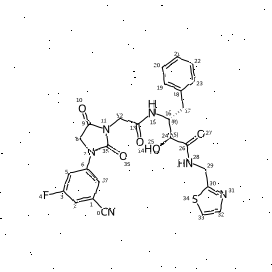 N#Cc1cc(F)cc(N2CC(=O)N(CC(=O)N[C@H](Cc3ccccc3)[C@H](O)C(=O)NCc3nccs3)C2=O)c1